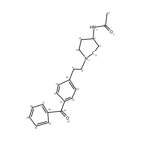 CC(=O)NC1CCN(CCc2ccc(C(=O)c3ccccc3)cc2)CC1